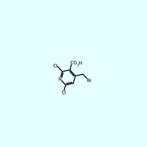 O=C(O)c1c(CBr)cc(Cl)nc1Cl